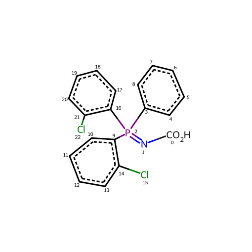 O=C(O)N=P(c1ccccc1)(c1ccccc1Cl)c1ccccc1Cl